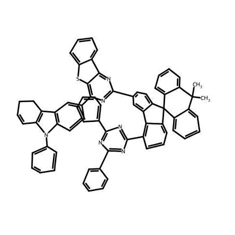 CC1(C)c2ccccc2C2(c3ccc(-c4nc(-c5ccc6c(c5)c5c(n6-c6ccccc6)C=CCC5)c5sc6ccccc6c5n4)cc3-c3c(-c4nc(-c5ccccc5)nc(-c5ccccc5)n4)cccc32)c2ccccc21